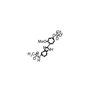 COc1cc(OS(C)(=O)=O)ccc1-c1nc2cc(NS(C)(=O)=O)ccc2[nH]1